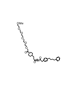 COCCOCCOCCOCCOCCOCC(=O)N1CCC(CCC(=O)ONC(=O)Cc2ccc(CCCCc3ccccc3)cc2)CC1